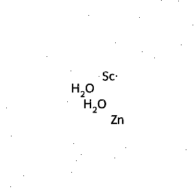 O.O.[Sc].[Zn]